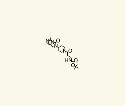 Cc1ncc2n1C(=O)N(C1CCN(C(=O)CCNC(=O)OC(C)(C)C)CC1)C2